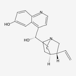 C=C[C@H]1CN2CC[C@H]1CC2[C@H](O)c1ccnc2ccc(O)cc12